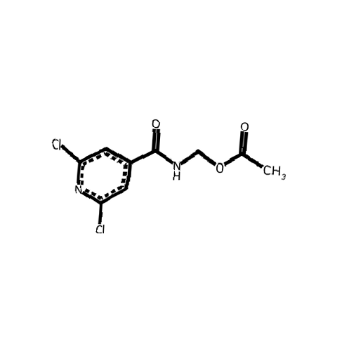 CC(=O)OCNC(=O)c1cc(Cl)nc(Cl)c1